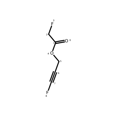 O=C(CF)OCC#CF